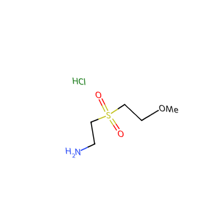 COCCS(=O)(=O)CCN.Cl